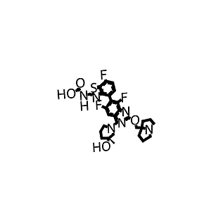 C[C@@]1(O)CCCN(c2nc(OCC34CCCN3CCC4)nc3c(F)c(-c4ccc(F)c5sc(NC(=O)O)nc45)c(F)cc23)C1